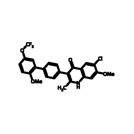 COc1cc2[nH]c(C)c(-c3ccc(-c4cc(OC(F)(F)F)ccc4OC)cc3)c(=O)c2cc1Cl